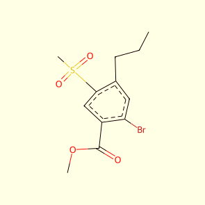 CCCc1cc(Br)c(C(=O)OC)cc1S(C)(=O)=O